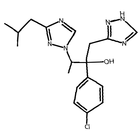 CC(C)Cc1ncn(C(C)C(O)(Cc2nc[nH]n2)c2ccc(Cl)cc2)n1